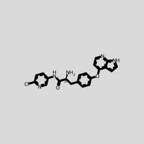 N[C@@H](Cc1ccc(Oc2ccnc3[nH]ccc23)cc1)C(=O)Nc1ccc(Cl)nc1